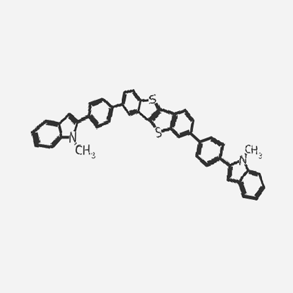 Cn1c(-c2ccc(-c3ccc4c(c3)sc3c5cc(-c6ccc(-c7cc8ccccc8n7C)cc6)ccc5sc43)cc2)cc2ccccc21